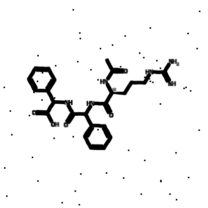 CC(=O)N[C@@H](CCCNC(=N)N)C(=O)NC(C(=O)NC(C(=O)O)c1ccccc1)c1ccccc1